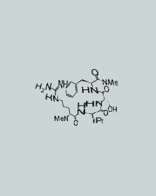 CNC(=O)[C@H](Cc1ccccc1)NC(=O)[C@H](CO)NC(=O)C(NC(=O)[C@H](CCCNC(=N)N)NC)C(C)C